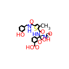 Cc1cc(C(=O)NCc2cccc(O)c2)sc1C(=O)N[C@](CN=C=O)(C(=O)O)c1cccc(C(=O)O)c1